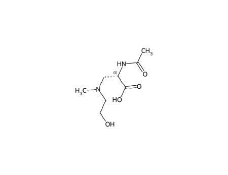 CC(=O)N[C@@H](CN(C)CCO)C(=O)O